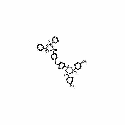 Cc1ccc(P2(=O)OP(=O)(c3ccc(C)cc3)OP(=O)(c3ccc(Cc4ccc(P5(=O)OP(=O)(c6ccccc6)OP(=O)(c6ccccc6)O5)cc4)cc3)O2)cc1